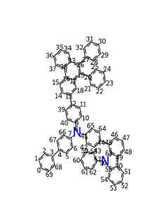 c1ccc(-c2ccc(N(c3ccc(-c4ccc5c(c4)c(-c4ccccc4)c(-c4ccccc4)c4ccccc45)cc3)c3ccc(-c4cccc5c6ccccc6n(-c6ccccc6)c45)cc3)cc2)cc1